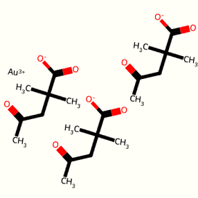 CC(=O)CC(C)(C)C(=O)[O-].CC(=O)CC(C)(C)C(=O)[O-].CC(=O)CC(C)(C)C(=O)[O-].[Au+3]